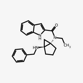 CCN(C(=O)c1cc2ccccc2[nH]1)[C@]12CCC[C@]1(NCc1ccccc1)C2